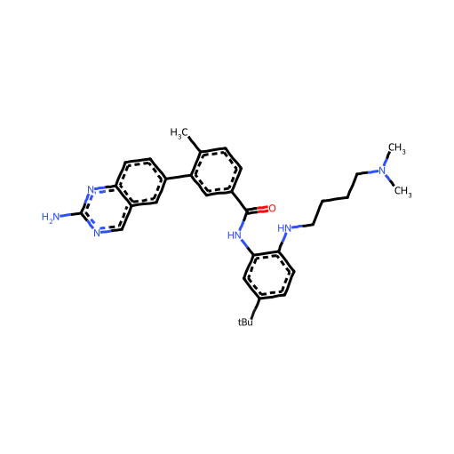 Cc1ccc(C(=O)Nc2cc(C(C)(C)C)ccc2NCCCCN(C)C)cc1-c1ccc2nc(N)ncc2c1